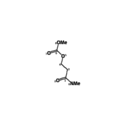 CNC(=O)CCOC(=O)OC